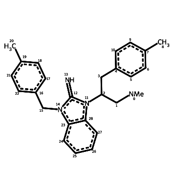 CNCC(Cc1ccc(C)cc1)n1c(=N)n(Cc2ccc(C)cc2)c2ccccc21